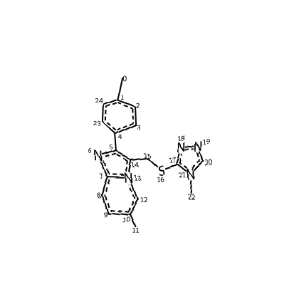 Cc1ccc(-c2nc3ccc(C)cn3c2CSc2nncn2C)cc1